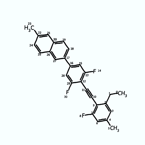 CCc1cc(C)cc(F)c1C#Cc1c(F)cc(-c2ccc3cc(C)ccc3c2)cc1F